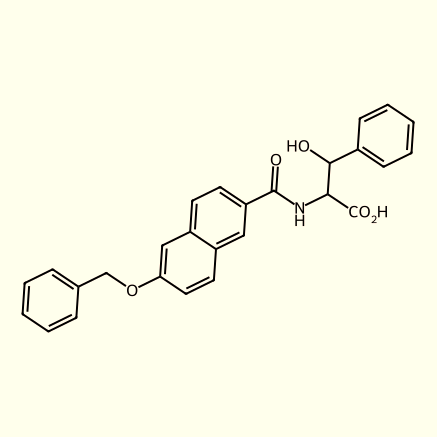 O=C(NC(C(=O)O)C(O)c1ccccc1)c1ccc2cc(OCc3ccccc3)ccc2c1